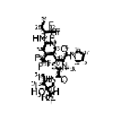 [2H]C([2H])([2H])C(O)(CNC(=O)c1nc(C(=O)N2CCC[C@@H]2C)c(-c2cnc(NC(CC)C(F)(F)F)cc2C(F)(F)F)s1)C([2H])([2H])[2H]